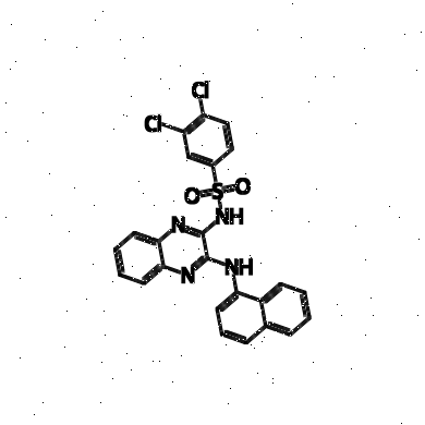 O=S(=O)(Nc1nc2ccccc2nc1Nc1cccc2ccccc12)c1ccc(Cl)c(Cl)c1